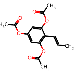 [CH2]C=Cc1c(OC(C)=O)cc(OC(C)=O)cc1OC(C)=O